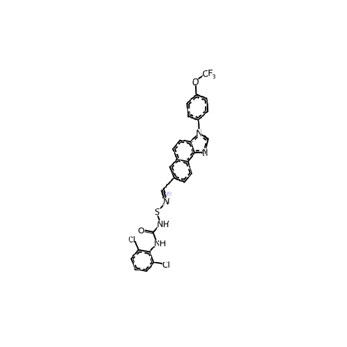 O=C(NS/N=C/c1ccc2c(ccc3c2ncn3-c2ccc(OC(F)(F)F)cc2)c1)Nc1c(Cl)cccc1Cl